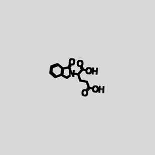 O=C(O)CCC(C(=O)O)N1CC2=C(C=C=C=C2)C1=O